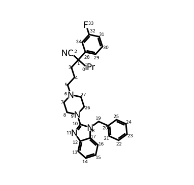 CC(C)C(C#N)(CCCN1CCN(c2nc3ccccc3n2Cc2ccccc2)CC1)c1cccc(F)c1